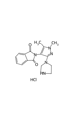 Cc1c(N2C(=O)c3ccccc3C2=O)c(N2CCNCC2)nn1C.Cl